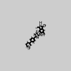 CCn1nc(-c2ccc(C3CCCN(C)C3)cc2)nc1Nc1cc2c(cc1C)C(=O)NC2C